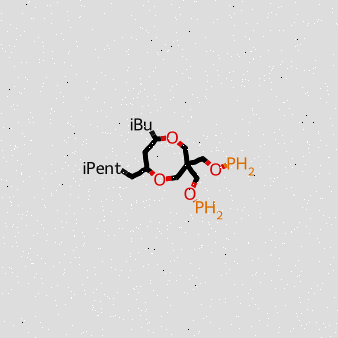 CCCC(C)CC1CC(C(C)CC)OCC(COP)(COP)CO1